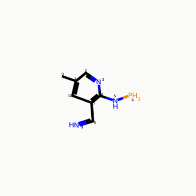 Cc1cnc(NP)c(C=N)c1